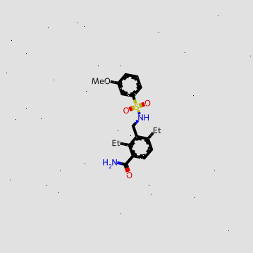 CCc1ccc(C(N)=O)c(CC)c1CNS(=O)(=O)c1cccc(OC)c1